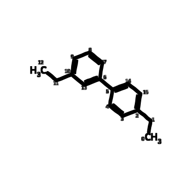 CCc1ccc(-c2[c]ccc(CC)c2)cc1